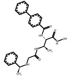 C[C@H](NCC(=O)N[C@H](C)[C@H](NC(=O)c1ccc(-c2ccccc2)cc1)C(=O)NO)c1ccccc1